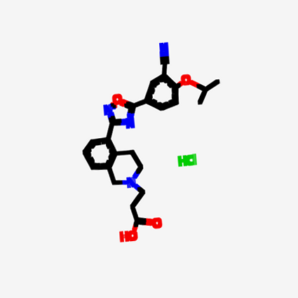 CC(C)Oc1ccc(-c2nc(-c3cccc4c3CCN(CCC(=O)O)C4)no2)cc1C#N.Cl